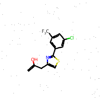 C=C(O)Cc1csc(-c2cc(Cl)cc(C(F)(F)F)c2)n1